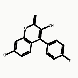 C=C1Oc2cc(Cl)ccc2C(c2ccc(F)cc2)=C1C#N